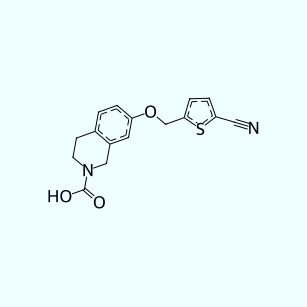 N#Cc1ccc(COc2ccc3c(c2)CN(C(=O)O)CC3)s1